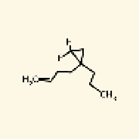 C=CCCC1(CCC)CC1(F)F